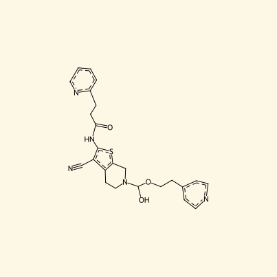 N#Cc1c(NC(=O)CCc2ccccn2)sc2c1CCN(C(O)OCCc1ccncc1)C2